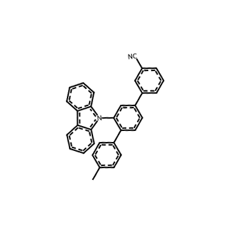 Cc1ccc(-c2ccc(-c3cccc(C#N)c3)cc2-n2c3ccccc3c3ccccc32)cc1